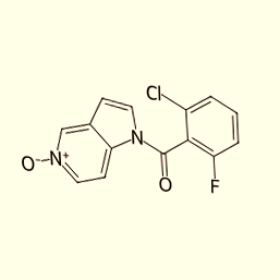 O=C(c1c(F)cccc1Cl)n1ccc2c[n+]([O-])ccc21